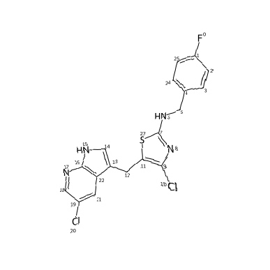 Fc1ccc(CNc2nc(Cl)c(Cc3c[nH]c4ncc(Cl)cc34)s2)cc1